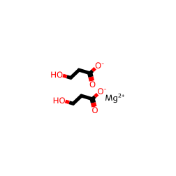 O=C([O-])CCO.O=C([O-])CCO.[Mg+2]